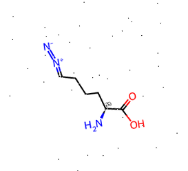 [N-]=[N+]=CCCC[C@H](N)C(=O)O